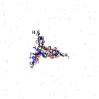 C/C=C/C1=CN2C(=O)c3cc(C)c(OCCCOc4cc5c(cc4OC)C(=O)N4C=C(/C=C/C)C[C@H]4[C@H](O)N5C(=O)OCc4ccc(NNC(C)C(=O)N[C@H](C(=O)NC(=O)CNC(=O)CI)C(C)C)cc4)cc3N=C[C@@H]2C1